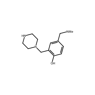 CNCc1ccc(O)c(CN2CCNCC2)c1